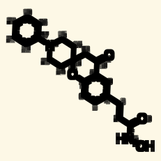 O=C(C=Cc1ccc2c(c1)C(=O)CC1(CCN(c3ccccc3)CC1)O2)NO